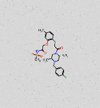 Cc1ccc(CCC(=O)N2C[C@H](C)N(Cc3ccc(F)cc3)C[C@H]2C)c(OCC(=O)NS(C)(=O)=O)c1